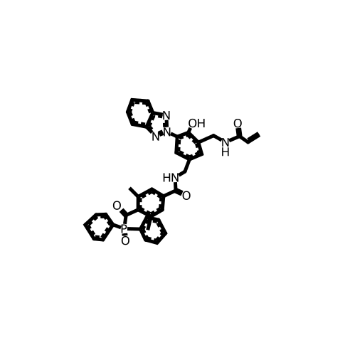 C=CC(=O)NCc1cc(CNC(=O)c2cc(C)c(C(=O)P(=O)(c3ccccc3)c3ccccc3)c(C)c2)cc(-n2nc3ccccc3n2)c1O